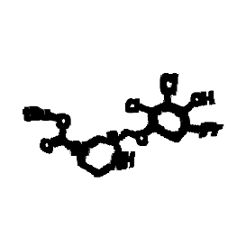 CC(C)c1cc(OC[C@H]2CN(C(=O)OC(C)(C)C)CCN2)c(Cl)c(Cl)c1O